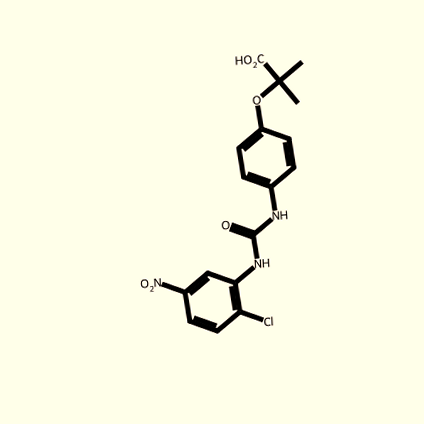 CC(C)(Oc1ccc(NC(=O)Nc2cc([N+](=O)[O-])ccc2Cl)cc1)C(=O)O